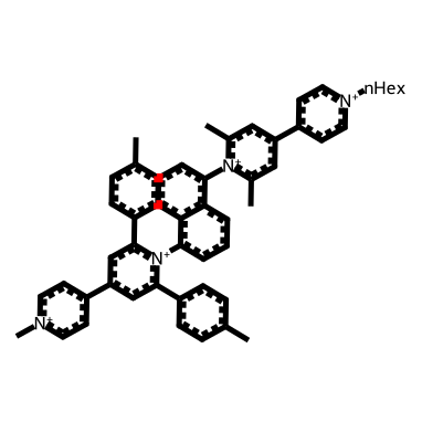 CCCCCC[n+]1ccc(-c2cc(C)[n+](-c3cccc4c(-[n+]5c(-c6ccc(C)cc6)cc(-c6cc[n+](C)cc6)cc5-c5ccc(C)cc5)cccc34)c(C)c2)cc1